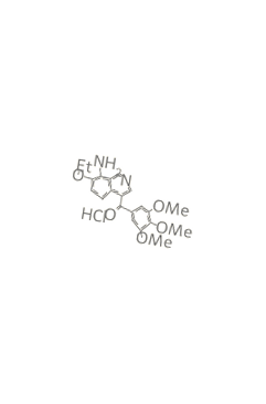 CCOc1ccc2c(C(=O)c3cc(OC)c(OC)c(OC)c3)cncc2c1N.Cl